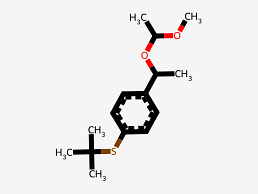 COC(C)OC(C)c1ccc(SC(C)(C)C)cc1